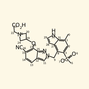 Cc1cc(S(C)(=O)=O)c(Cn2cc3ccc(C#N)c(OC4CN(CC(=O)O)C4)c3n2)c2cc[nH]c12